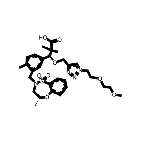 COCCOCCn1cc(CO[C@@H](c2ccc(C)c(CN3C[C@@H](C)Oc4ccccc4S3(=O)=O)c2)C(C)(C)C(=O)O)nn1